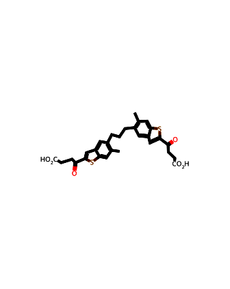 Cc1cc2sc(C(=O)CCC(=O)O)cc2cc1CCCc1cc2cc(C(=O)CCC(=O)O)sc2cc1C